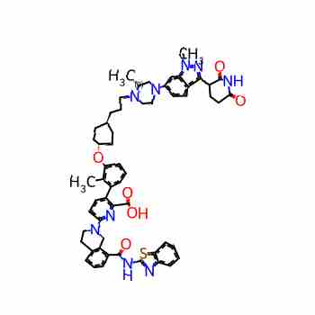 Cc1c(O[C@H]2CC[C@H](CCCN3CCN(c4ccc5c(C6CCC(=O)NC6=O)nn(C)c5c4)C[C@H]3C)CC2)cccc1-c1ccc(N2CCc3cccc(C(=O)Nc4nc5ccccc5s4)c3C2)nc1C(=O)O